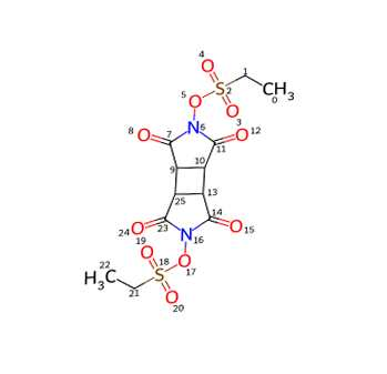 CCS(=O)(=O)ON1C(=O)C2C(C1=O)C1C(=O)N(OS(=O)(=O)CC)C(=O)C21